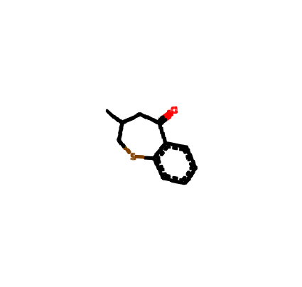 CC1CSc2ccccc2C(=O)C1